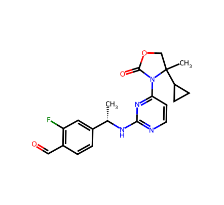 C[C@H](Nc1nccc(N2C(=O)OCC2(C)C2CC2)n1)c1ccc(C=O)c(F)c1